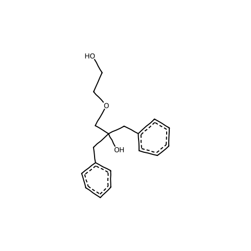 OCCOCC(O)(Cc1ccccc1)Cc1ccccc1